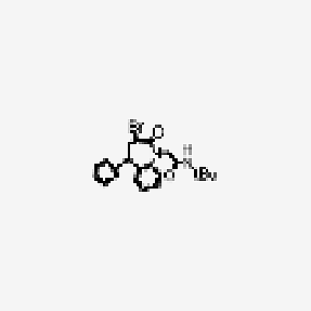 CC(C)(C)NC(=O)CN1C(=O)C(Br)CC(c2ccccc2)c2ccccc21